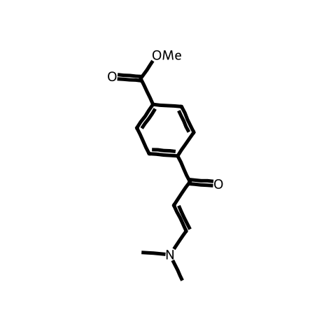 COC(=O)c1ccc(C(=O)C=CN(C)C)cc1